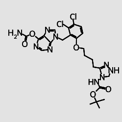 CC(C)(C)OC(=O)NN1CNN=C1CCCCOc1ccc(Cl)c(Cl)c1Cn1cnc2c(OC(N)=O)ncnc21